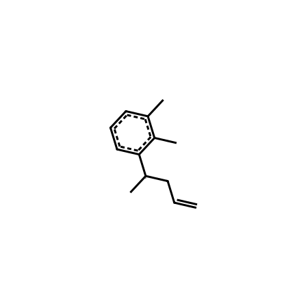 C=CC[C](C)c1cccc(C)c1C